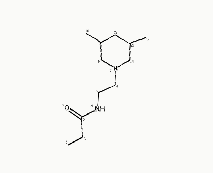 CCC(=O)NCCN1CC(C)CC(C)C1